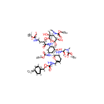 CN(CC(=O)N[C@@H]1CC=C(CNC(=O)OCc2ccc([N+](=O)[O-])cc2)OC1[C@H]1[C@H](O)[C@@H](O[C@H]2OC[C@](C)(O)[C@H](N(C)C(=O)OC(C)(C)C)[C@H]2O)[C@H](NC(=O)[C@@H](O)CCNC(=O)OC(C)(C)C)C[C@@H]1NC(=O)OC(C)(C)C)C(=O)OC(C)(C)C